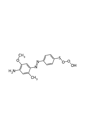 COc1cc(N=Nc2ccc(SOOO)cc2)c(C)cc1N